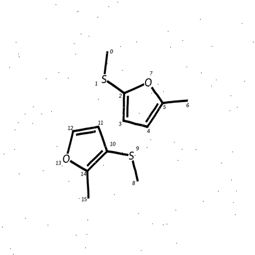 CSc1ccc(C)o1.CSc1ccoc1C